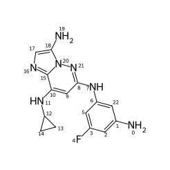 Nc1cc(F)cc(Nc2cc(NC3CC3)c3ncc(N)n3n2)c1